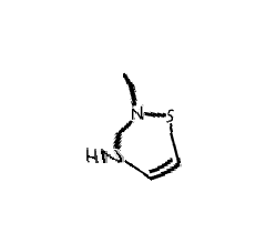 CN1NC=CS1